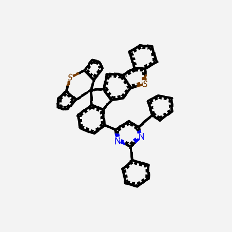 c1ccc(-c2cc(-c3cccc4c3-c3cc5sc6ccccc6c5cc3C43c4ccccc4Sc4ccccc43)nc(-c3ccccc3)n2)cc1